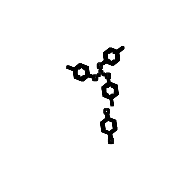 Cc1ccc(OP(Oc2ccc(C)cc2)Oc2ccc(C)cc2)cc1.O=C1C=CC(=O)C=C1